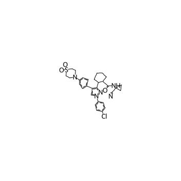 N#CC1(NC(=O)C2CCCCC2c2nn(-c3ccc(Cl)cc3)cc2-c2ccc(N3CCS(=O)(=O)CC3)cc2)CC1